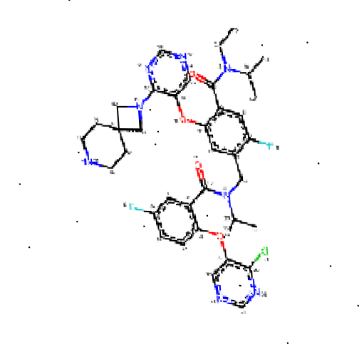 CCN(C(=O)c1cc(F)c(CN(C(=O)c2cc(F)ccc2Oc2cncnc2Cl)C(C)C)cc1Oc1cncnc1N1CC2(CCNCC2)C1)C(C)C